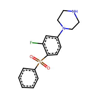 O=S(=O)(c1ccccc1)c1ccc(N2CCNCC2)cc1F